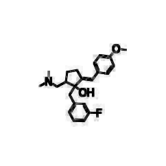 COc1ccc(/C=C2\CCC(CN(C)C)C2(O)Cc2cccc(F)c2)cc1